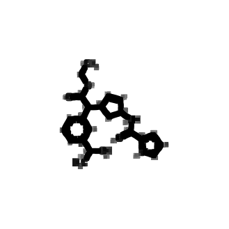 CCOC(=O)C(c1cccc(C(C)O)c1)C1C=CC(NC(=O)c2cccs2)C1